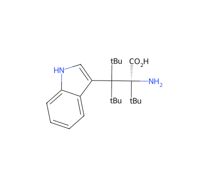 CC(C)(C)C(c1c[nH]c2ccccc12)(C(C)(C)C)[C@](N)(C(=O)O)C(C)(C)C